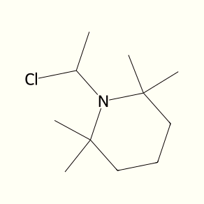 CC(Cl)N1C(C)(C)CCCC1(C)C